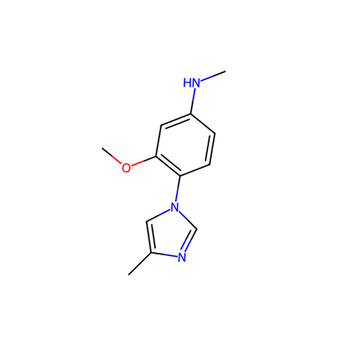 CNc1ccc(-n2cnc(C)c2)c(OC)c1